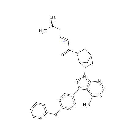 CN(C)C/C=C/C(=O)N1CC2CC1C(n1nc(-c3ccc(Oc4ccccc4)cc3)c3c(N)ncnc31)C2